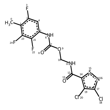 Cc1c(F)cc(NC(=O)OCNC(=O)c2snc(Cl)c2Cl)c(F)c1F